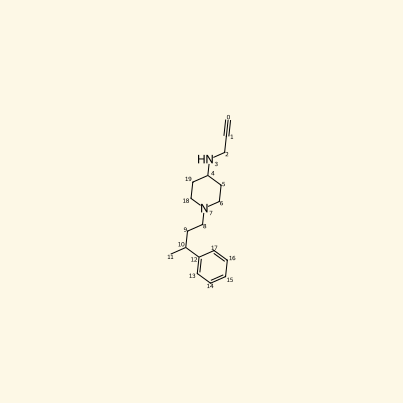 C#CCNC1CCN(CCC(C)c2ccccc2)CC1